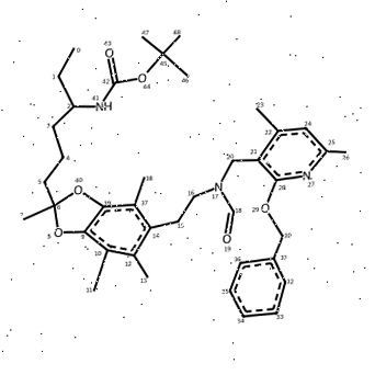 CCC(CCCC1(C)Oc2c(C)c(C)c(CCN(C=O)Cc3c(C)cc(C)nc3OCc3ccccc3)c(C)c2O1)NC(=O)OC(C)(C)C